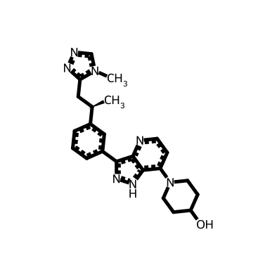 C[C@H](Cc1nncn1C)c1cccc(-c2n[nH]c3c(N4CCC(O)CC4)ccnc23)c1